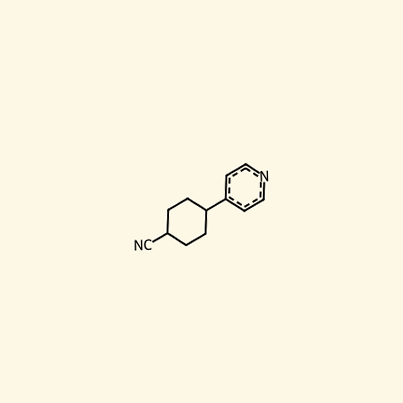 N#CC1CCC(c2ccncc2)CC1